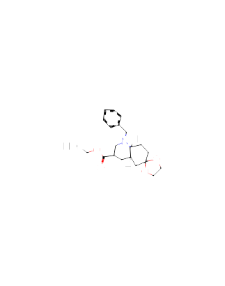 CCOC(=O)C1C[C@@H]2CC3(CC[C@H]2N(Cc2ccccc2)C1)OCCO3